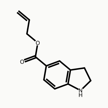 C=CCOC(=O)c1ccc2c(c1)CCN2